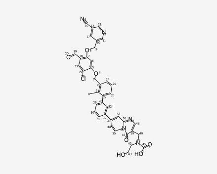 Cc1c(COc2cc(OCc3cncc(C#N)c3)c(C=O)cc2Cl)cccc1-c1cccc(-c2ccn3c(=O)c(CN(CCO)C(=O)O)cnc3c2)c1